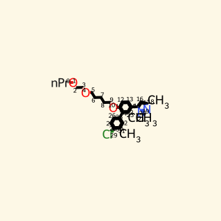 CCCOCCOCCCCCOc1ccc(-c2cc(C)nn2C)c(C)c1-c1ccc(Cl)c(C)c1